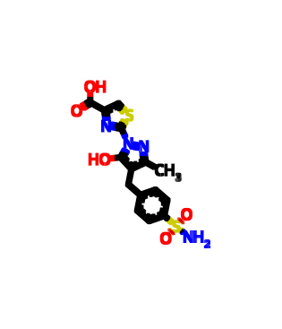 Cc1nn(-c2nc(C(=O)O)cs2)c(O)c1Cc1ccc(S(N)(=O)=O)cc1